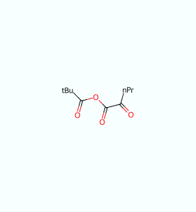 CCCC(=O)C(=O)OC(=O)C(C)(C)C